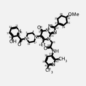 CCc1c(N2CCN(C(=O)c3ncccc3O)CC2)c(=O)n2nc(C3=CCC(OC)CC3)nc2n1CC(=O)Nc1ccc(C(F)(F)F)nc1C